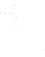 CC(C)(C)C(c1nc(-c2cc(F)ccc2F)cn1Cc1ccccc1)N(CCC(N)C(=O)NCCOCCOCCOCCC(=O)O)C(=O)CO